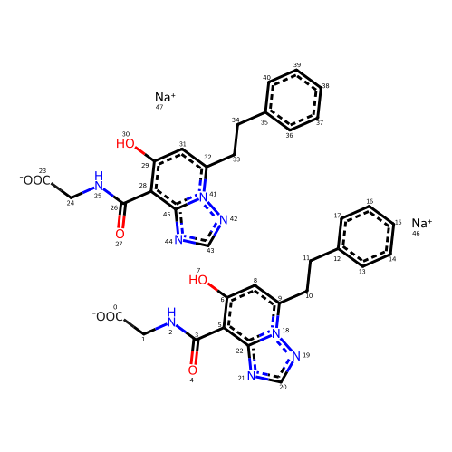 O=C([O-])CNC(=O)c1c(O)cc(CCc2ccccc2)n2ncnc12.O=C([O-])CNC(=O)c1c(O)cc(CCc2ccccc2)n2ncnc12.[Na+].[Na+]